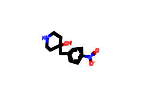 O=[N+]([O-])c1ccc(CC2(O)CCNCC2)cc1